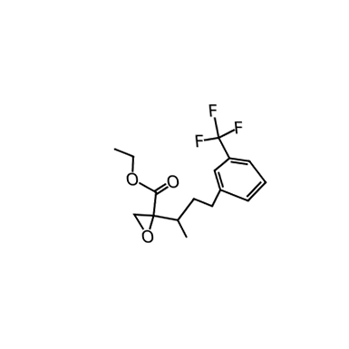 CCOC(=O)C1(C(C)CCc2cccc(C(F)(F)F)c2)CO1